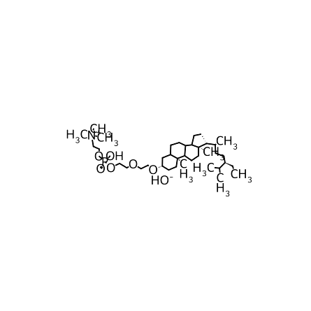 CC[C@H](CC[C@@H](C)[C@H]1CCC2C3CCC4C[C@@H](OCCOCCOP(=O)(O)OCC[N+](C)(C)C)CC[C@]4(C)C3CC[C@@]21C)C(C)C.[OH-]